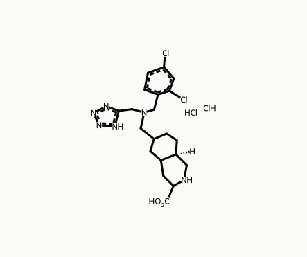 Cl.Cl.O=C(O)C1CC2CC(CN(Cc3nnn[nH]3)Cc3ccc(Cl)cc3Cl)CC[C@H]2CN1